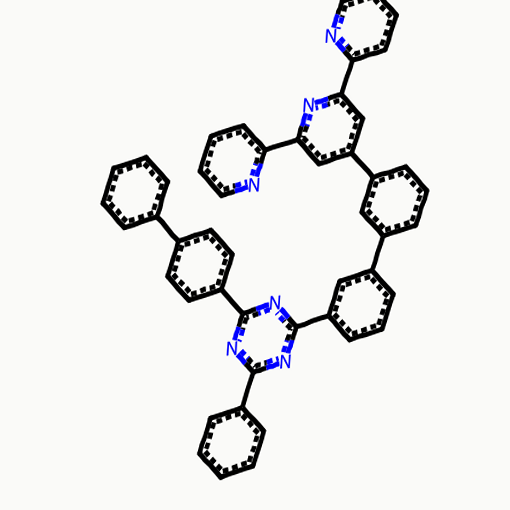 c1ccc(-c2ccc(-c3nc(-c4ccccc4)nc(-c4cccc(-c5cccc(-c6cc(-c7ccccn7)nc(-c7ccccn7)c6)c5)c4)n3)cc2)cc1